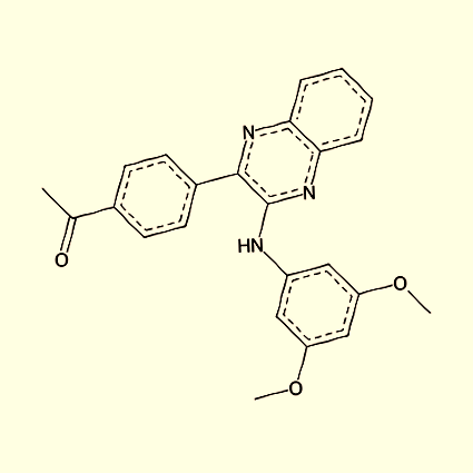 COc1cc(Nc2nc3ccccc3nc2-c2ccc(C(C)=O)cc2)cc(OC)c1